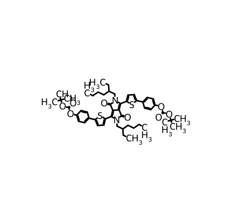 CCCCC(CC)CN1C(=O)C2=C(c3ccc(-c4ccc(OC(=O)OC(C)(C)C)cc4)s3)N(CC(CC)CCCC)C(=O)C2=C1c1ccc(-c2ccc(OC(=O)OC(C)(C)C)cc2)s1